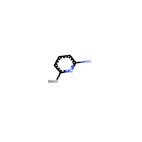 COc1cccc([NH])n1